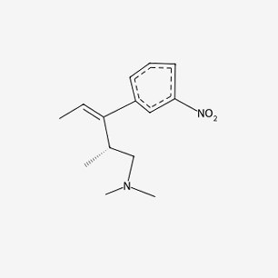 C/C=C(/c1cccc([N+](=O)[O-])c1)[C@@H](C)CN(C)C